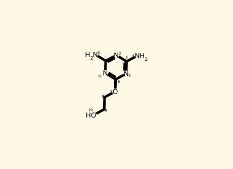 Nc1nc(N)nc(OCCO)n1